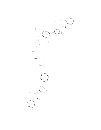 CCCCN(C(=O)c1ccccc1F)c1nnc(-c2cc(C)c(CN3CC(C(=O)OC(=O)C4CN(Cc5ccc(-c6nnc(N(CC)C(=O)c7cccc(Cl)c7F)s6)cc5)C4)C3)c(C)c2)s1